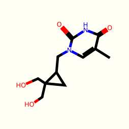 Cc1cn(CC2CC2(CO)CO)c(=O)[nH]c1=O